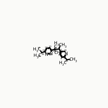 CC(C)c1ccc(C(C)C(C)(C)c2ccc(C(C)C)nn2)cn1